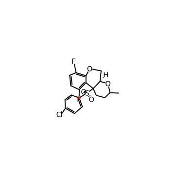 CC1CCC2(S(=O)(=O)c3ccc(Cl)cc3)c3c(F)ccc(F)c3OC[C@H]2O1